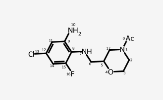 CC(=O)N1CCOC(CNc2c(N)cc(Cl)cc2F)C1